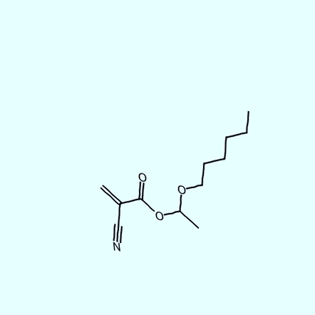 C=C(C#N)C(=O)OC(C)OCCCCCC